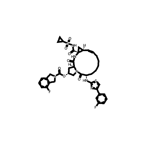 O=C1N[C@]2(C(=O)NS(=O)(=O)C3CC3)C[C@H]2/C=C\CCCCC[C@H](Nc2nc(-c3cccc(F)c3)cs2)C(=O)N2C[C@H](OC(=O)N3Cc4cccc(F)c4C3)C[C@@H]12